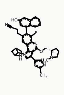 Cc1ncc(-c2cn(C3C4CNC3C4)c3c2c(OC[C@@H]2CCCN2C)nc2c(F)c(-c4cc(O)cc5ccccc45)c(CCC#N)cc23)s1